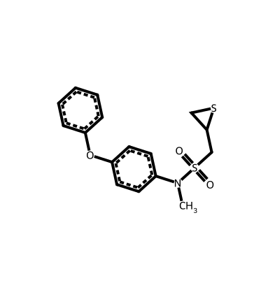 CN(c1ccc(Oc2ccccc2)cc1)S(=O)(=O)CC1CS1